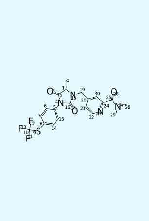 CC1C(=O)N(c2ccc(SC(F)(F)F)cc2)C(=O)N1Cc1ccnc(C(=O)N(C)C)c1